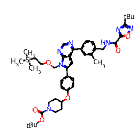 Cc1cc(-c2ncnc3c2cc(-c2ccc(OC4CCN(C(=O)OC(C)(C)C)CC4)cc2)n3COCC[Si](C)(C)C)ccc1CNC(=O)c1nc(C(C)(C)C)no1